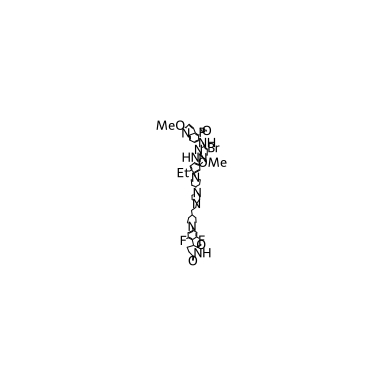 CCc1cc(Nc2ncc(Br)c(Nc3ccc4nc(OC)ccc4c3P(C)(C)=O)n2)c(OC)cc1N1CCC(N2CCN(CCC3CCN(c4cc(F)c(C5CCC(=O)NC5=O)c(F)c4)CC3)CC2)CC1